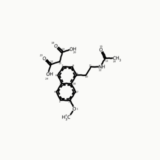 COc1ccc2cccc(CCNC(C)=O)c2c1.O=C(O)CC(=O)O